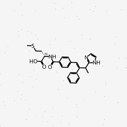 CSCC[C@H](NC(=O)c1ccc(C=C(c2ccccc2)C(C)c2ncc[nH]2)cc1)C(=O)O